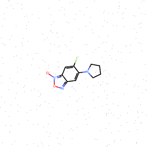 [O-][n+]1onc2cc(N3CCCC3)c(F)cc21